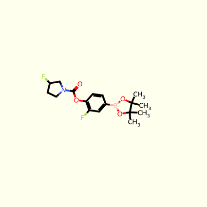 CC1(C)OB(c2ccc(OC(=O)N3CCC(F)C3)c(F)c2)OC1(C)C